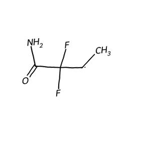 C[CH]C(F)(F)C(N)=O